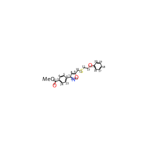 COC(=O)c1ccc(-c2cc(CSCCOc3ccccc3)on2)cc1